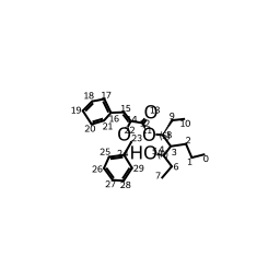 CCCC([C@H](O)CC)[C@H](CC)OC(=O)C(=Cc1ccccc1)OCc1ccccc1